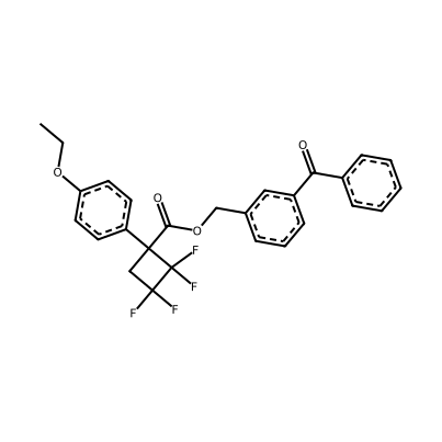 CCOc1ccc(C2(C(=O)OCc3cccc(C(=O)c4ccccc4)c3)CC(F)(F)C2(F)F)cc1